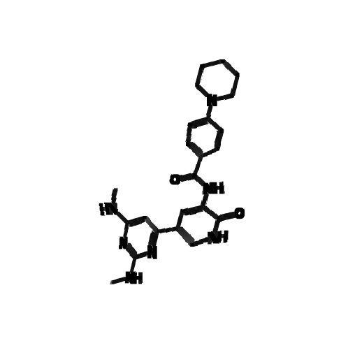 CNc1cc(-c2c[nH]c(=O)c(NC(=O)c3ccc(N4CCCCC4)cc3)c2)nc(NC)n1